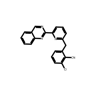 N#Cc1c(Cl)cccc1Cc1cccc(-c2ncc3ccccc3n2)n1